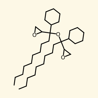 CCCCCCCCCC(OC(CCCCCCCCC)(C1CCCCC1)C1CO1)(C1CCCCC1)C1CO1